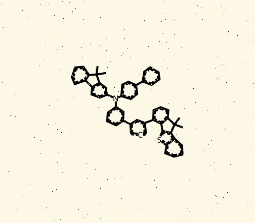 CC1(C)c2ccccc2-c2ccc(N(c3ccc(-c4ccccc4)cc3)c3cccc(-c4cccc(-c5cccc6c5-c5sc7ccccc7c5C6(C)C)c4)c3)cc21